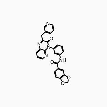 O=C(Nc1cccc(-n2c(=O)c(Cc3cccnc3)nc3cccnc32)c1)c1ccc2c(c1)OCO2